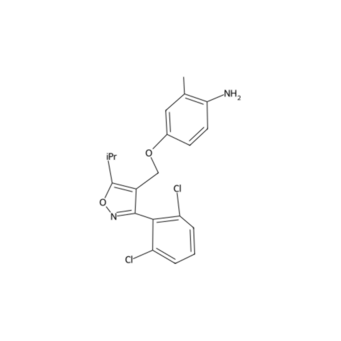 Cc1cc(OCc2c(-c3c(Cl)cccc3Cl)noc2C(C)C)ccc1N